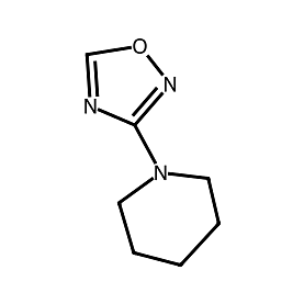 c1nc(N2CCCCC2)no1